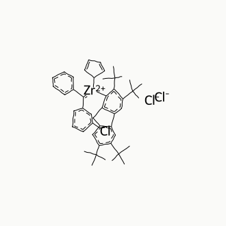 CC(C)(C)c1cc2c(cc1C(C)(C)C)-c1cc(C(C)(C)C)c(C(C)(C)C)[c]([Zr+2](=[C](c3ccccc3)c3cccc(Cl)c3)[CH]3C=CC=C3)c1C2.[Cl-].[Cl-]